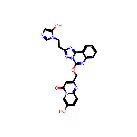 O=c1cc(COc2nc3ccccc3c3nc(CCn4cncc4O)nn23)nc2ccc(O)cn12